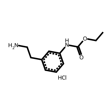 CCOC(=O)Nc1cccc(CCN)c1.Cl